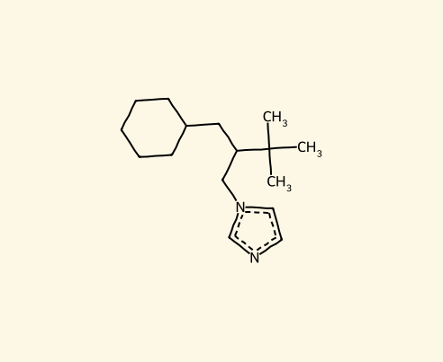 CC(C)(C)C(CC1CCCCC1)Cn1ccnc1